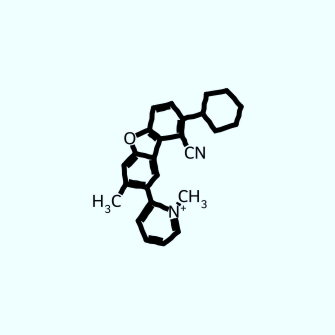 Cc1cc2oc3ccc(C4CCCCC4)c(C#N)c3c2cc1-c1cccc[n+]1C